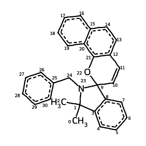 CC1(C)c2ccccc2C2(C=Cc3ccc4ccccc4c3O2)N1Cc1ccccc1